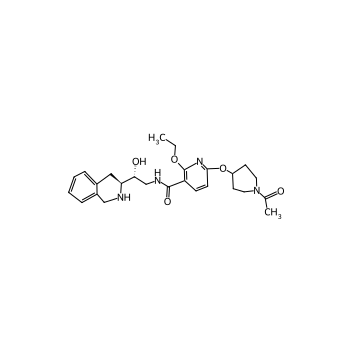 CCOc1nc(OC2CCN(C(C)=O)CC2)ccc1C(=O)NC[C@@H](O)[C@@H]1Cc2ccccc2CN1